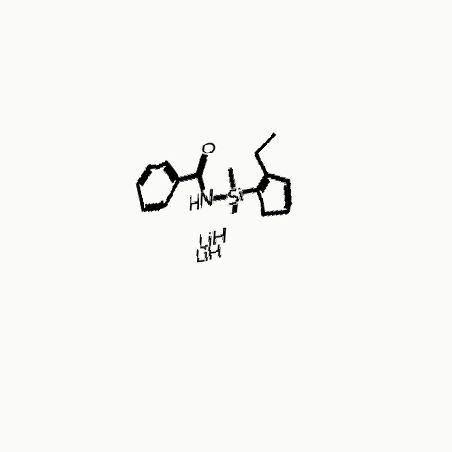 CCC1=C([Si](C)(C)NC(=O)c2ccccc2)CC=C1.[LiH].[LiH]